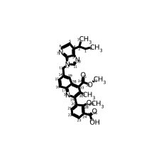 CCC(C)c1ccnc2c1ncn2Cc1ccc2nc(-c3cccc(C(=O)O)c3OC)c(C)c(C(=O)OC)c2c1